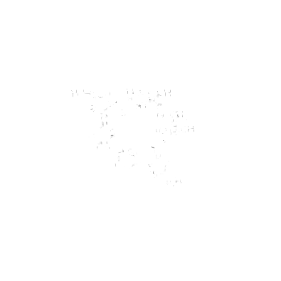 Cc1cc(CCO[SiH](C)C)c(-c2ccc(-c3ccc(-c4sc(C)cc4CCO[Si](C)(C)C)s3)s2)s1